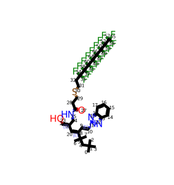 CC(C)(C)CC(C)(C)C(/C=C/n1nc2ccccc2n1)=C/C(=C/O)CNC(=O)CCSCCC(F)(F)C(F)(F)C(F)(F)C(F)(F)C(F)(F)C(F)(F)C(F)(F)C(F)(F)F